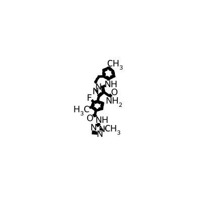 Cc1ccc2c(c1)CCn1nc(-c3ccc(C(=O)Nc4ncnn4C)c(C)c3F)c(C(N)=O)c1N2